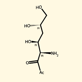 CC(=O)C(=O)[C@H](N)[C@@H](O)C[C@H](O)CO